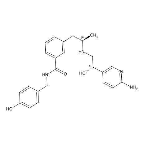 C[C@H](Cc1cccc(C(=O)NCc2ccc(O)cc2)c1)NC[C@@H](O)c1ccc(N)nc1